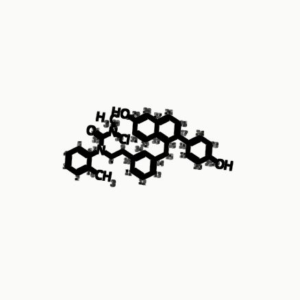 Cc1ccccc1N(CCc1cccc(Cc2c(-c3ccc(O)cc3)ccc3cc(O)ccc23)c1)C(=O)N(C)Cl